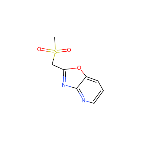 CS(=O)(=O)Cc1nc2ncccc2o1